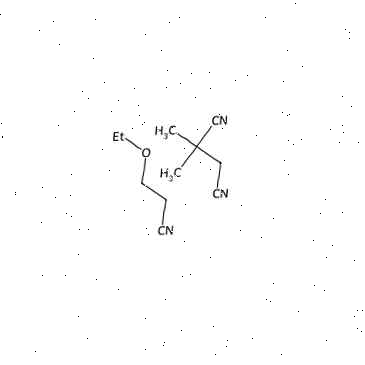 CC(C)(C#N)CC#N.CCOCCC#N